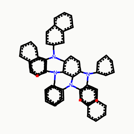 c1ccc(N(c2ccccc2)c2ccc(N(c3ccccc3)c3ccc4ccccc4c3)c(N(c3ccccc3)c3ccc4ccccc4c3)c2N(c2ccccc2)c2ccc3ccccc3c2)cc1